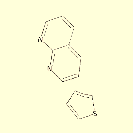 c1ccsc1.c1cnc2ncccc2c1